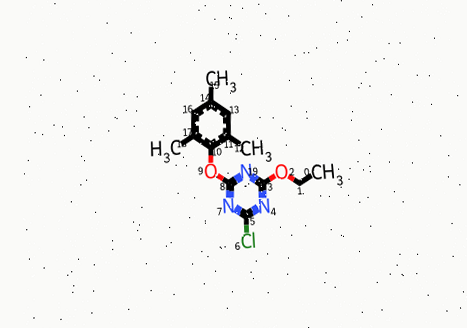 CCOc1nc(Cl)nc(Oc2c(C)cc(C)cc2C)n1